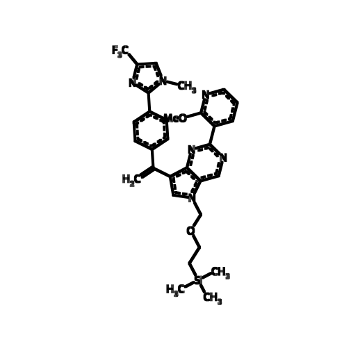 C=C(c1ccc(-c2nc(C(F)(F)F)cn2C)cc1)c1cn(COCC[Si](C)(C)C)c2cnc(-c3cccnc3OC)nc12